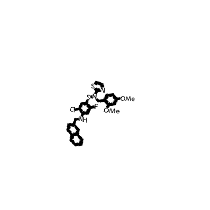 COc1ccc(CN(Sc2cc(Cl)c(NCc3ccc4ccccc4c3)cc2F)c2nccs2)c(OC)c1